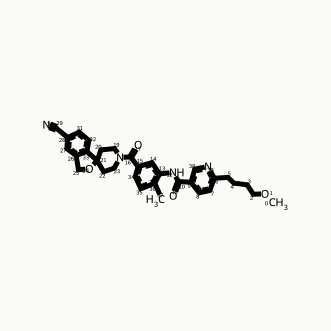 COCCCCc1ccc(C(=O)Nc2cc(C(=O)N3CCC4(CC3)OCc3cc(C#N)ccc34)ccc2C)cn1